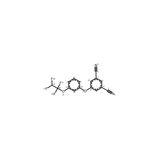 N#Cc1cc(C#N)cc(Oc2cccc(OC(F)(F)C(F)F)c2)c1